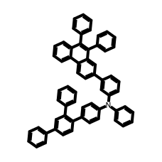 c1ccc(-c2ccc(-c3ccc(N(c4ccccc4)c4cccc(-c5ccc6c(c5)c(-c5ccccc5)c(-c5ccccc5)c5ccccc56)c4)cc3)c(-c3ccccc3)c2)cc1